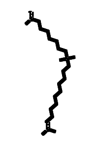 C[SiH](C)CCCCCCCCCC[Si](C)(C)CCCCCCC[SiH](C)C